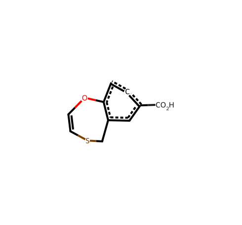 O=C(O)c1ccc2c(c1)CSC=CO2